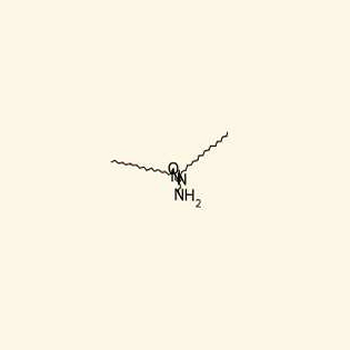 CCCCCCCCCCCCCCCCCC(=O)N1CC(CCN)N=C1CCCCCCCCCCCCCCCCC